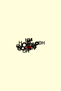 COC(=O)NC1=C2C#C/C=C\C#C[C@H](OC3OC(C)C(F)(C(=O)c4nccc5c4[nH]c4ccc(O)cc45)CC3OC3CCC(NC(C)C)C(C)O3)C2/C(=C\CSC(C)=O)[C@@H](O)CC1=O